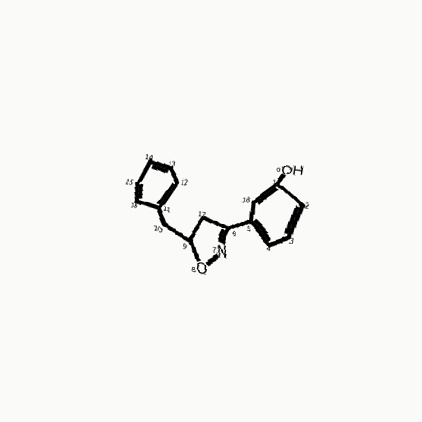 Oc1cccc(C2=NOC(Cc3ccccc3)C2)c1